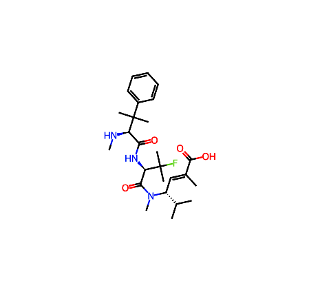 CN[C@H](C(=O)N[C@H](C(=O)N(C)[C@H](/C=C(\C)C(=O)O)C(C)C)C(C)(C)F)C(C)(C)c1ccccc1